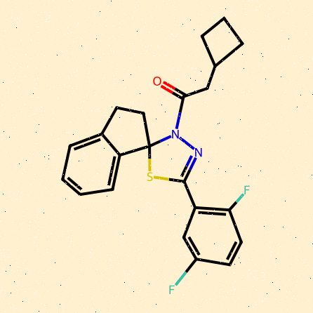 O=C(CC1CCC1)N1N=C(c2cc(F)ccc2F)SC12CCc1ccccc12